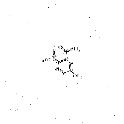 NC(=O)c1cc(N)cnc1[N+](=O)[O-]